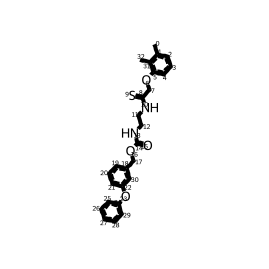 Cc1cccc(OCC(=S)NCCNC(=O)OCc2cccc(Oc3ccccc3)c2)c1C